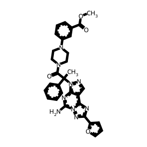 COC(=O)c1cccc(N2CCN(C(=O)C(C)(c3ccccc3)n3ncc4c3nc(N)n3nc(-c5ccco5)nc43)CC2)c1